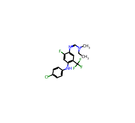 CCN(C)/C=N\c1cc(C(F)(F)F)c(Nc2ccc(Cl)cc2)cc1F